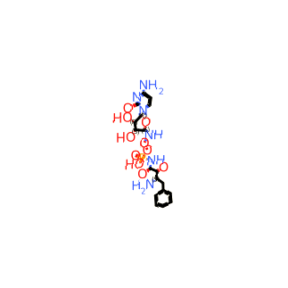 Nc1ccn([C@@H]2O[C@H](NOOP(=O)(O)NC(=O)C(=O)[C@@H](N)Cc3ccccc3)[C@@H](O)[C@H]2O)c(=O)n1